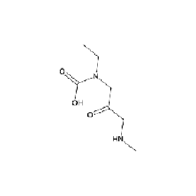 CCN(CC(=O)CNC)C(=O)O